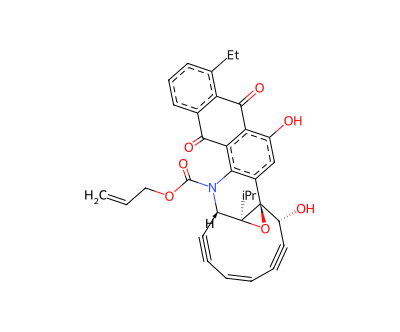 C=CCOC(=O)N1c2c(cc(O)c3c2C(=O)c2cccc(CC)c2C3=O)[C@@]23O[C@@]2(C(C)C)[C@@H]1C#C/C=C\C#C[C@H]3O